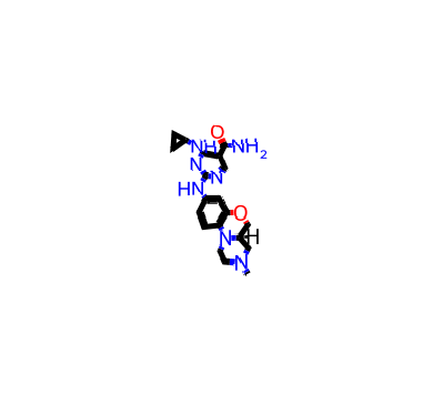 CN1CCN2c3ccc(Nc4ncc(C(N)=O)c(NC5CC5)n4)cc3OC[C@H]2C1